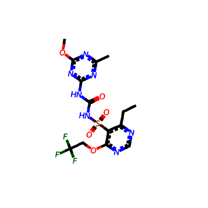 CCc1ncnc(OCC(F)(F)F)c1S(=O)(=O)NC(=O)Nc1nc(C)nc(OC)n1